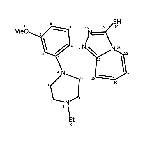 CCN1CCN(c2cccc(OC)c2)CC1.Sc1nnc2ccccn12